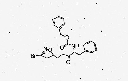 O=C(N[C@@H](Cc1ccccc1)C(=O)CCC1CC(Br)=NO1)OCc1ccccc1